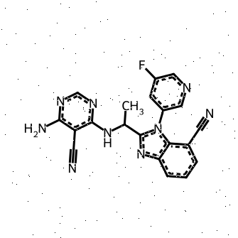 CC(Nc1ncnc(N)c1C#N)c1nc2cccc(C#N)c2n1-c1cncc(F)c1